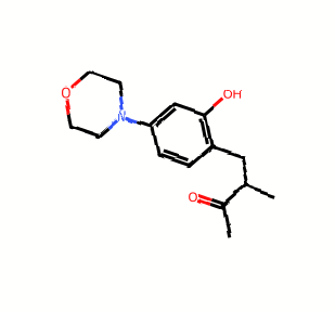 CC(=O)C(C)Cc1ccc(N2CCOCC2)cc1O